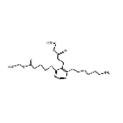 BCCCCCCc1cccc(OCCCC(=O)OCC)c1CCC(=O)OCC